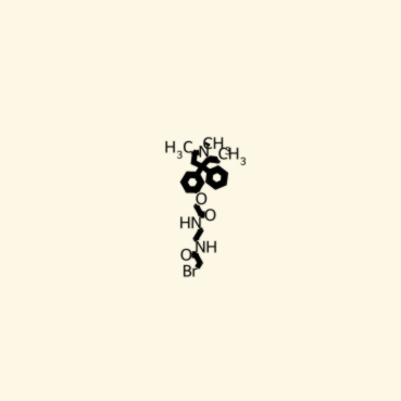 C/C=C1\N(C)C(C)CC1(c1ccccc1)c1cccc(OCC(=O)NCCNC(=O)CBr)c1